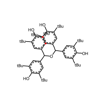 CC(C)(C)c1cc(C(OC(c2cc(C(C)(C)C)c(O)c(C(C)(C)C)c2)c2cc(C(C)(C)C)c(O)c(C(C)(C)C)c2)c2cc(C(C)(C)C)c(O)c(C(C)(C)C)c2)cc(C(C)(C)C)c1O